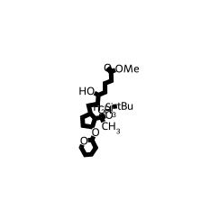 COC(=O)CCCC(O)CCC1CCC(OC2CCCCO2)C1C(C)(C)O[SiH2]C(C)(C)C